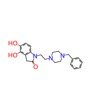 O=C1Cc2c(ccc(O)c2O)N1CCN1CCN(Cc2ccccc2)CC1